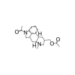 CC(=O)OCC1C[C@@H]2c3cccc4c3C(C[C@H]2N(C)C1)CN4C(C)=O